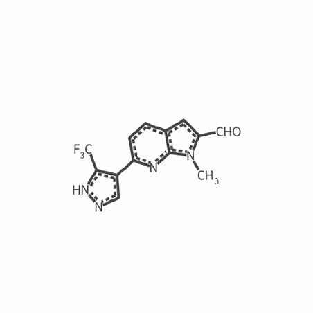 Cn1c(C=O)cc2ccc(-c3cn[nH]c3C(F)(F)F)nc21